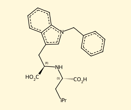 CC(C)C[C@H](N[C@H](Cc1cn(Cc2ccccc2)c2ccccc12)C(=O)O)C(=O)O